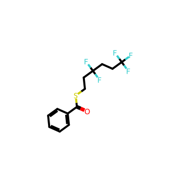 O=C(SCCC(F)(F)CCC(F)(F)F)c1ccccc1